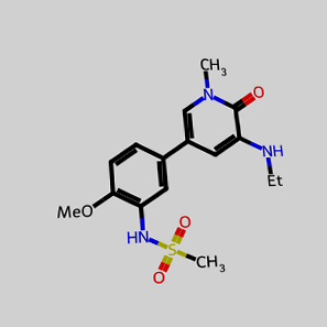 CCNc1cc(-c2ccc(OC)c(NS(C)(=O)=O)c2)cn(C)c1=O